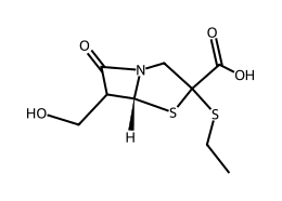 CCSC1(C(=O)O)CN2C(=O)C(CO)[C@H]2S1